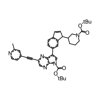 Cc1cc(C#Cc2cnc3c(n2)c(-c2ccc4c(c2)C(C2CCCN(C(=O)OC(C)(C)C)C2)C=C4)cn3C(=O)OC(C)(C)C)ccn1